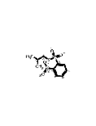 CC(C)CSS(=O)(=O)c1ccccc1[N+](=O)[O-]